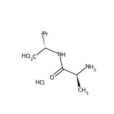 CC(C)[C@H](NC(=O)[C@H](C)N)C(=O)O.Cl